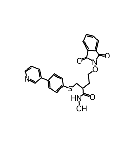 O=C(NO)C(CCON1C(=O)c2ccccc2C1=O)CSc1ccc(-c2cccnc2)cc1